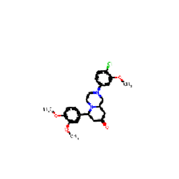 COc1cc(N2CCN3C(CC(=O)CC3c3ccc(OC)c(OC)c3)C2)ccc1Cl